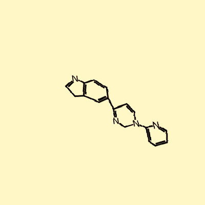 C1=CN(c2ccccn2)CN=C1c1ccc2c(c1)CC=N2